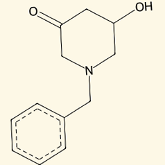 O=C1CC(O)CN(Cc2ccccc2)C1